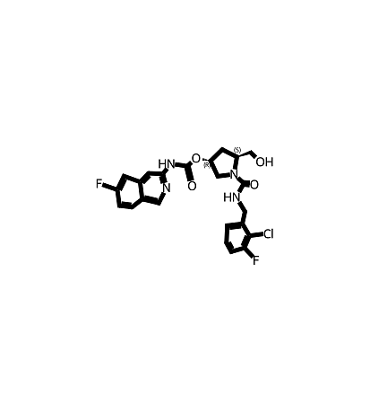 O=C(Nc1cc2cc(F)ccc2cn1)O[C@@H]1C[C@@H](CO)N(C(=O)NCc2cccc(F)c2Cl)C1